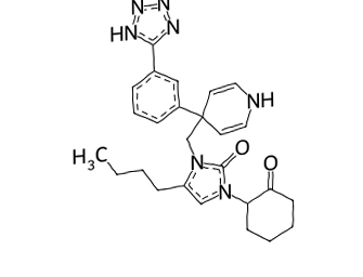 CCCCc1cn(C2CCCCC2=O)c(=O)n1CC1(c2cccc(-c3nnn[nH]3)c2)C=CNC=C1